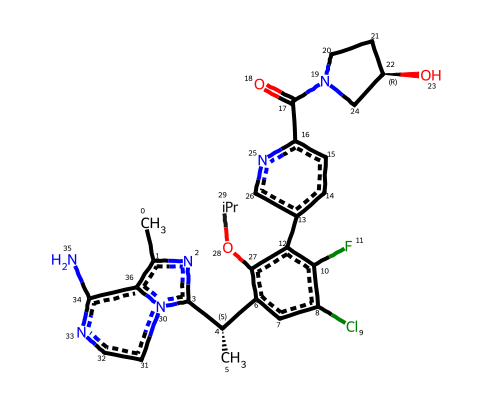 Cc1nc([C@@H](C)c2cc(Cl)c(F)c(-c3ccc(C(=O)N4CC[C@@H](O)C4)nc3)c2OC(C)C)n2ccnc(N)c12